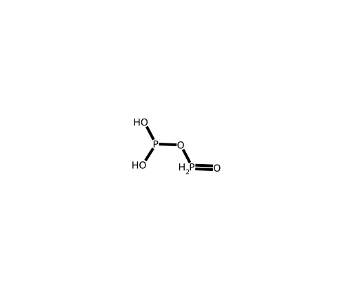 O=[PH2]OP(O)O